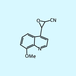 COc1cccc2c(C3OC3C#N)ccnc12